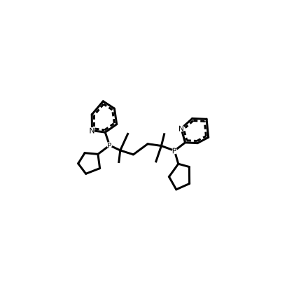 CC(C)(CCC(C)(C)P(c1ccccn1)C1CCCC1)P(c1ccccn1)C1CCCC1